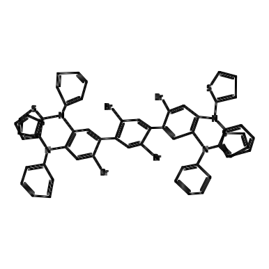 Brc1cc(-c2cc(N(c3ccccc3)c3cccs3)c(N(c3ccccc3)c3cccs3)cc2Br)c(Br)cc1-c1cc(N(c2ccccc2)c2cccs2)c(N(c2ccccc2)c2cccs2)cc1Br